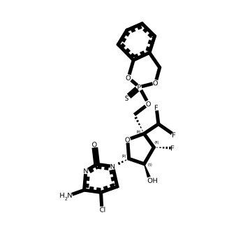 Nc1nc(=O)n([C@@H]2O[C@@](COP3(=S)OCc4ccccc4O3)(C(F)F)[C@H](F)[C@H]2O)cc1Cl